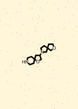 C1CC2(CCN1)CC(N1CCC3(CCOC3)C1)CO2